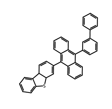 C1=CC2c3ccccc3SC2C=C1c1c2ccccc2c(-c2cccc(-c3ccccc3)c2)c2ccccc12